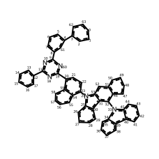 c1ccc(-c2cccc(-c3nc(-c4ccccc4)nc(-c4ccc(-n5c6ccccc6c6c(-n7c8ccccc8c8ccccc87)c7ccccc7cc65)c5ccccc45)n3)c2)cc1